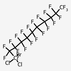 FC(F)(F)C(F)(F)C(F)(F)C(F)(F)C(F)(F)C(F)(F)C(F)(F)C(F)(F)C(F)(F)[C](F)(F)[Cr]([Cl])([Cl])[Br]